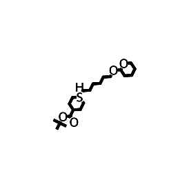 CC(C)(C)OC(=O)C1CC[SH](CCCCCCOC2CCCCO2)CC1